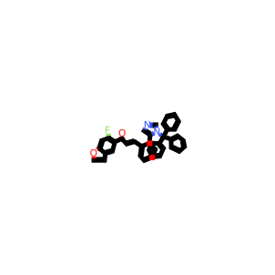 O=C(C=Cc1ccccc1-c1cncn1C(c1ccccc1)(c1ccccc1)c1ccccc1)c1cc2ccoc2cc1F